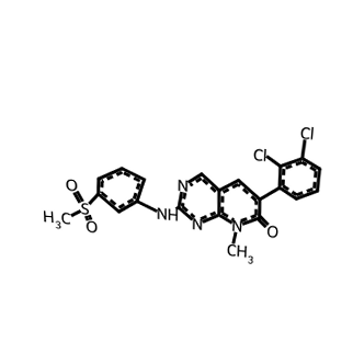 Cn1c(=O)c(-c2cccc(Cl)c2Cl)cc2cnc(Nc3cccc(S(C)(=O)=O)c3)nc21